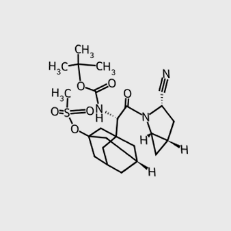 CC(C)(C)OC(=O)N[C@H](C(=O)N1[C@H](C#N)C[C@@H]2C[C@@H]21)C12CC3C[C@H](CC(OS(C)(=O)=O)(C3)C1)C2